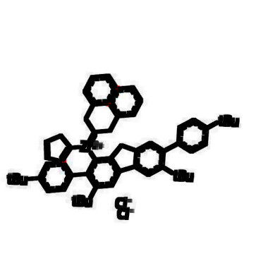 CC(C)(C)c1ccc(-c2cc3c(cc2C(C)(C)C)-c2cc(C(C)(C)C)c(-c4ccc(C(C)(C)C)cc4)[c]([Zr+2]([C]4=CC=CC4)=[C](Cc4ccccc4)Cc4ccccc4)c2C3)cc1.[Cl-].[Cl-]